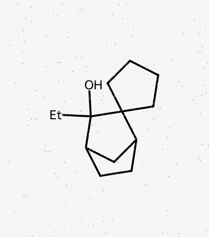 CCC1(O)C2CCC(C2)C12CCCC2